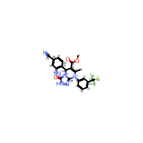 COC(=O)C1=C(C)N(c2cccc(C(F)(F)F)c2)c2n[nH]c(=O)n2C1c1ccc(C#N)cc1N